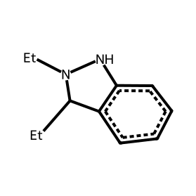 CCC1c2ccccc2NN1CC